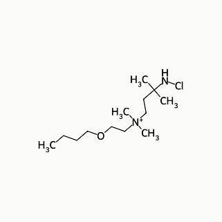 CCCCOCC[N+](C)(C)CCC(C)(C)NCl